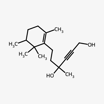 CC1=C(CCC(C)(O)C#CCO)C(C)(C)C(C)CC1